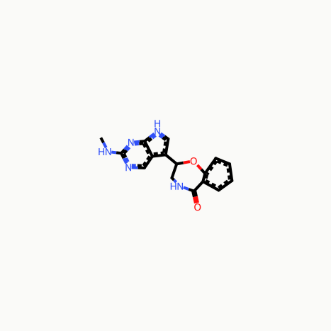 CNc1ncc2c(C3CNC(=O)c4ccccc4O3)c[nH]c2n1